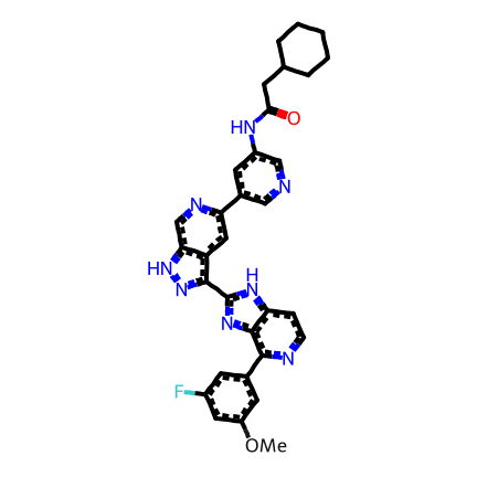 COc1cc(F)cc(-c2nccc3[nH]c(-c4n[nH]c5cnc(-c6cncc(NC(=O)CC7CCCCC7)c6)cc45)nc23)c1